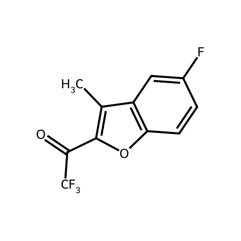 Cc1c(C(=O)C(F)(F)F)oc2ccc(F)cc12